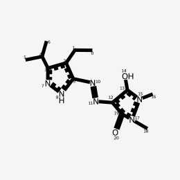 CCc1c(C(C)C)n[nH]c1/N=N/c1c(O)n(C)n(C)c1=O